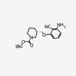 CC(C)(C)OC(=O)N1CCC[C@H](COc2cccc(N)c2C#N)C1